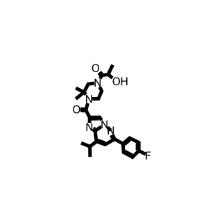 CC(O)C(=O)N1CCN(C(=O)c2cn3nc(-c4ccc(F)cc4)cc(C(C)C)c3n2)C(C)(C)C1